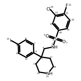 O=S(=O)(NCC1(c2ccc(I)cc2)CCNCC1)c1ccc(F)c(Cl)c1